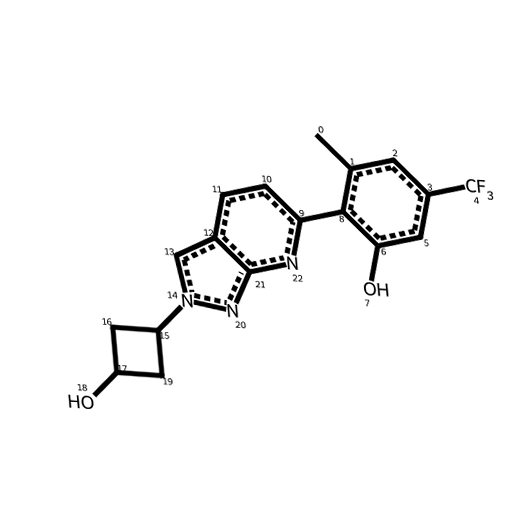 Cc1cc(C(F)(F)F)cc(O)c1-c1ccc2cn(C3CC(O)C3)nc2n1